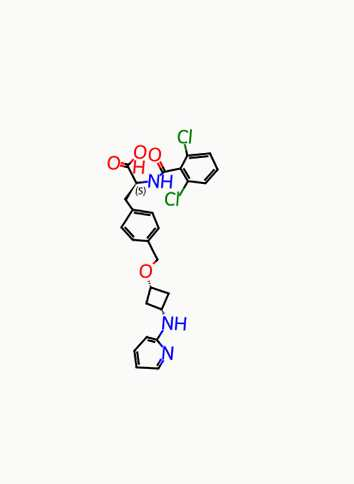 O=C(N[C@@H](Cc1ccc(CO[C@H]2C[C@@H](Nc3ccccn3)C2)cc1)C(=O)O)c1c(Cl)cccc1Cl